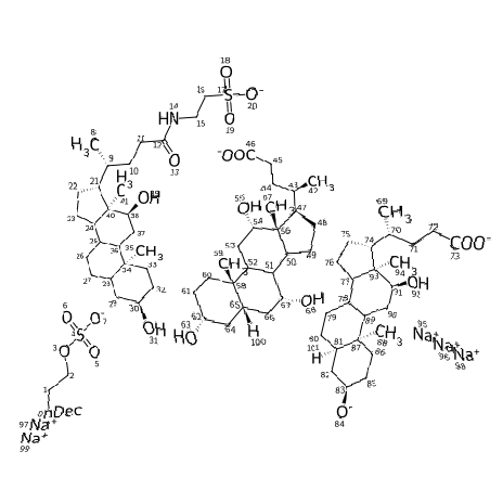 CCCCCCCCCCCCOS(=O)(=O)[O-].C[C@H](CCC(=O)NCCS(=O)(=O)[O-])[C@H]1CCC2C3CCC4C[C@H](O)CC[C@]4(C)C3C[C@H](O)[C@@]21C.C[C@H](CCC(=O)[O-])[C@H]1CCC2C3C(C[C@H](O)[C@@]21C)[C@@]1(C)CC[C@@H](O)C[C@H]1C[C@H]3O.C[C@H](CCC(=O)[O-])[C@H]1CCC2C3CC[C@@H]4C[C@H]([O-])CC[C@]4(C)C3C[C@H](O)[C@@]21C.[Na+].[Na+].[Na+].[Na+].[Na+]